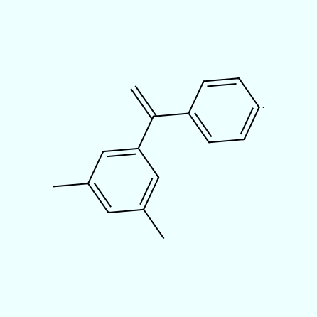 C=C(c1cc[c]cc1)c1cc(C)cc(C)c1